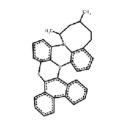 CC1CCc2cccc3c2N(c2cccc4c2B3c2c(c3ccccc3c3ccccc23)S4)C(C)C1